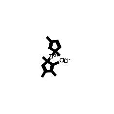 CC1=C[C](C)([Zr+2][C]2(C)C=C(C)C(C)=C2C)C=C1.[Cl-].[Cl-]